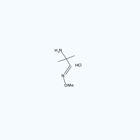 CON=CC(C)(C)N.Cl